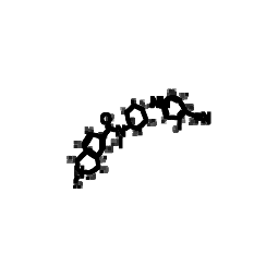 Cc1cc(N[C@H]2CC[C@H](N(I)C(=O)c3ccc4c(c3)CCN(C)C4)CC2)ccc1C#N